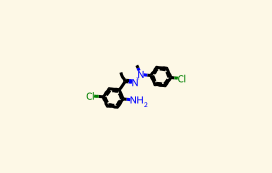 C/C(=N\N(C)c1ccc(Cl)cc1)c1cc(Cl)ccc1N